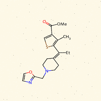 CCC(=C1CCN(Cc2ncco2)CC1)c1scc(C(=O)OC)c1C